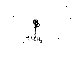 CC(C)CCCCCCCOC(=O)c1cccnn1